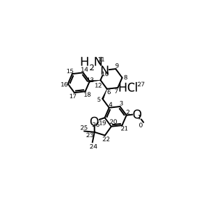 COc1cc(C[C@@H]2CCCN(N)[C@@H]2c2ccccc2)c2c(c1)CC(C)(C)O2.Cl